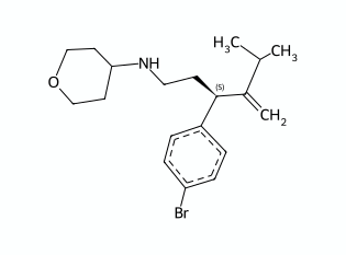 C=C(C(C)C)[C@H](CCNC1CCOCC1)c1ccc(Br)cc1